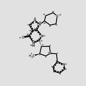 C[C@@H]1CN(Cc2ccccn2)C[C@H]1c1nc2c(cnn2C2CCOCC2)c(=O)[nH]1